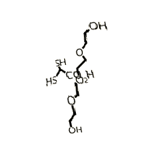 O=C(O)C(S)S.OCCOCCOCCOCCO